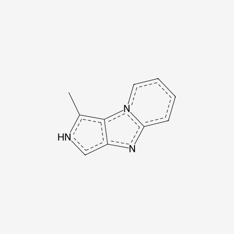 Cc1[nH]cc2nc3ccccn3c12